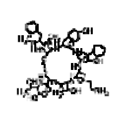 C=S=C(NC1CSSCC(C(=O)NC(C(=O)O)C(C)O)NC(=O)C(C(C)O)NC(=O)C(CCCCN)NC(=O)C(Cc2c[nH]c3ccccc23)NC(=O)C(Cc2ccc(O)cc2)NC1=O)C(Cc1ccccc1)NC